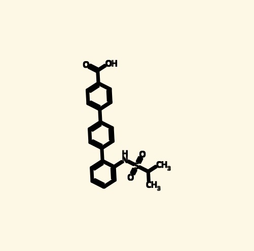 CC(C)S(=O)(=O)Nc1ccccc1-c1ccc(-c2ccc(C(=O)O)cc2)cc1